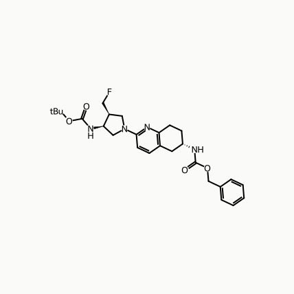 CC(C)(C)OC(=O)N[C@@H]1CN(c2ccc3c(n2)CC[C@H](NC(=O)OCc2ccccc2)C3)C[C@@H]1CF